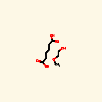 COCCO.O=C(O)CCCCC(=O)O